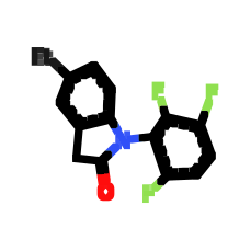 CCc1ccc2c(c1)CC(=O)N2c1c(F)ccc(F)c1F